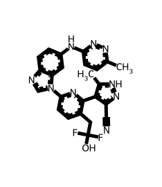 Cc1ccc(Nc2ccc3ncn(-c4ccc(CC(O)(F)F)c(-c5c(C#N)n[nH]c5C)n4)c3c2)nn1